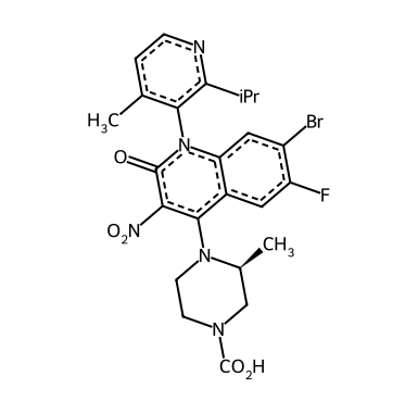 Cc1ccnc(C(C)C)c1-n1c(=O)c([N+](=O)[O-])c(N2CCN(C(=O)O)C[C@@H]2C)c2cc(F)c(Br)cc21